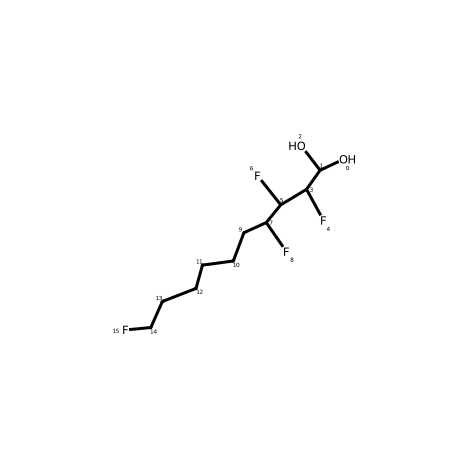 OC(O)C(F)C(F)C(F)CCCCCCF